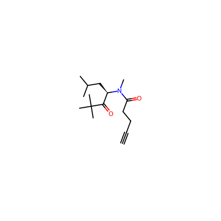 C#CCCC(=O)N(C)[C@H](CC(C)C)C(=O)C(C)(C)C